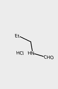 CCCNC=O.Cl